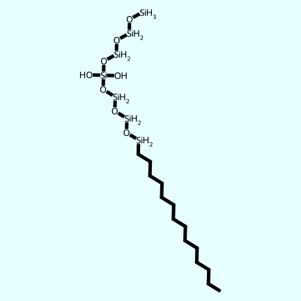 CCCCCCCCCCCCCC[SiH2]O[SiH2]O[SiH2]O[Si](O)(O)O[SiH2]O[SiH2]O[SiH3]